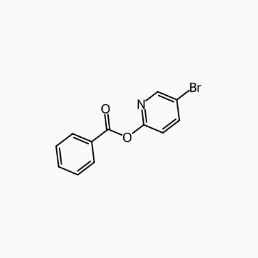 O=C(Oc1ccc(Br)cn1)c1ccccc1